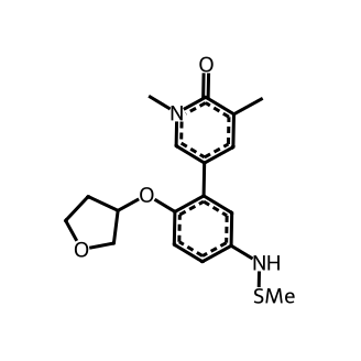 CSNc1ccc(OC2CCOC2)c(-c2cc(C)c(=O)n(C)c2)c1